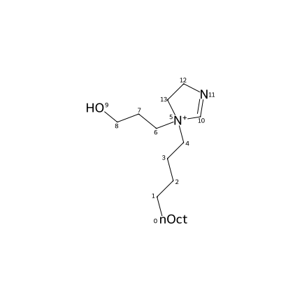 CCCCCCCCCCCC[N+]1(CCCO)C=NCC1